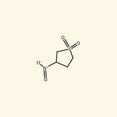 O=[N+]([O-])C1CCS(=O)(=O)C1